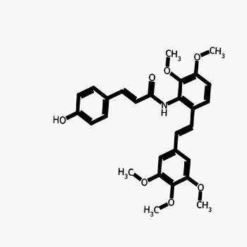 COc1cc(/C=C/c2ccc(OC)c(OC)c2NC(=O)/C=C/c2ccc(O)cc2)cc(OC)c1OC